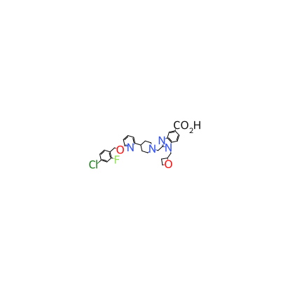 O=C(O)c1ccc2c(c1)nc(CN1CCC(c3cccc(OCc4ccc(Cl)cc4F)n3)CC1)n2CC1CCO1